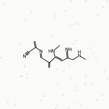 C=C(C#N)/N=C/C(=C)/C(=C/C(=N)CNC)NC